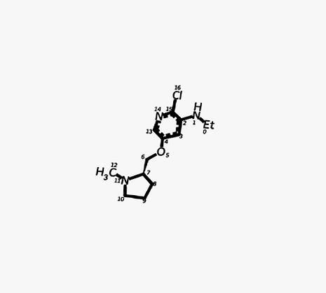 CCNc1cc(OC[C@H]2CCCN2C)cnc1Cl